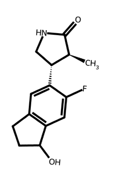 C[C@@H]1C(=O)NC[C@H]1c1cc2c(cc1F)C(O)CC2